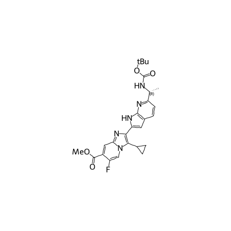 COC(=O)c1cc2nc(-c3cc4ccc([C@@H](C)NC(=O)OC(C)(C)C)nc4[nH]3)c(C3CC3)n2cc1F